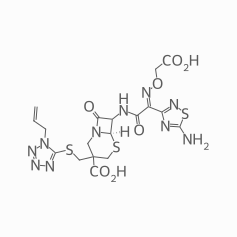 C=CCn1nnnc1SCC1(C(=O)O)CS[C@@H]2C(NC(=O)C(=NOCC(=O)O)c3nsc(N)n3)C(=O)N2C1